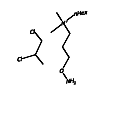 CC(Cl)CCl.CCCCCC[N+](C)(C)CCCON